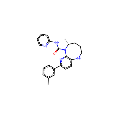 Cc1cccc(-c2ccc3c(n2)N(C(=O)Nc2ccccn2)[C@H](C)CCCN3)c1